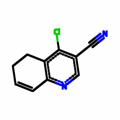 N#Cc1cnc2c(c1Cl)CCC=C2